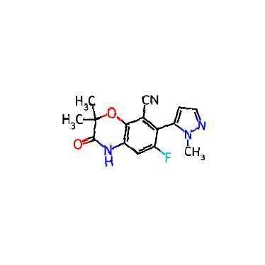 Cn1nccc1-c1c(F)cc2c(c1C#N)OC(C)(C)C(=O)N2